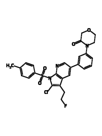 Cc1ccc(S(=O)(=O)n2c(Cl)c(CCF)c3cc(-c4cccc(N5CCOCC5=O)c4)cnc32)cc1